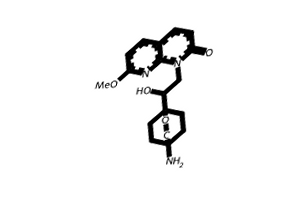 COc1ccc2ccc(=O)n(CC(O)C34CCC(N)(CC3)CO4)c2n1